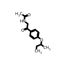 CCC(C)Oc1ccc(C(=O)CNC(C)=O)cc1